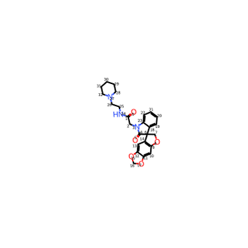 O=C(CN1C(=O)C2(COc3cc4c(cc32)OCO4)c2ccccc21)NCCN1CCCCC1